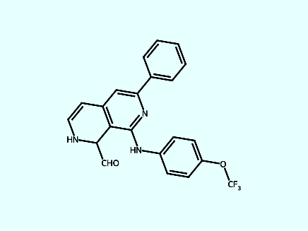 O=CC1NC=Cc2cc(-c3ccccc3)nc(Nc3ccc(OC(F)(F)F)cc3)c21